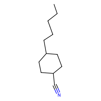 CCCCCC1CCC(C#N)CC1